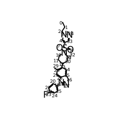 CCCn1cc(S(=O)(=O)N2CCC(c3cc4cnn(-c5ccc(F)cc5)c4cc3C)C[C@H]2C)cn1